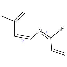 C=C/C(F)=N\C=C/C(=C)C